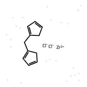 C1=CCC(CC2=CC=CC2)=C1.[Cl-].[Cl-].[Zr+2]